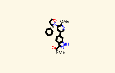 CNC(=O)c1n[nH]c2cc(-c3cnc(OC)c(N4OCC[C@H]4c4ccccc4)c3)ccc12